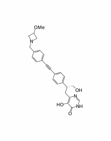 COC1CN(Cc2ccc(C#Cc3ccc([C@H](CO)Cc4nc[nH]c(=O)c4O)cc3)cc2)C1